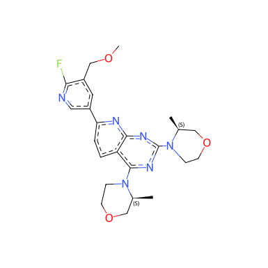 COCc1cc(-c2ccc3c(N4CCOC[C@@H]4C)nc(N4CCOC[C@@H]4C)nc3n2)cnc1F